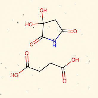 O=C(O)CCC(=O)O.O=C1CC(O)(O)C(=O)N1